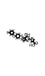 O=C(O)c1cnn(-c2nc(O)c3c(cnn3C[C@H]3CC[C@H](Oc4cccc(F)c4)CC3)n2)c1